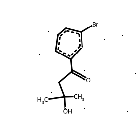 CC(C)(O)CC(=O)c1cccc(Br)c1